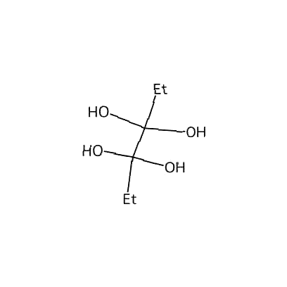 CCC(O)(O)C(O)(O)CC